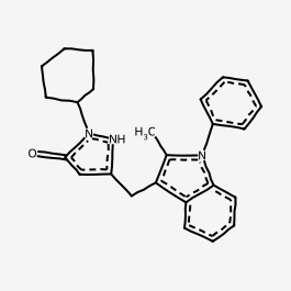 Cc1c(Cc2cc(=O)n(C3CCCCC3)[nH]2)c2ccccc2n1-c1ccccc1